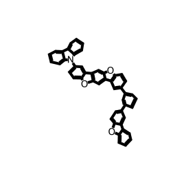 c1cc(-c2ccc3oc4ccccc4c3c2)cc(-c2ccc3oc4cc5c(cc4c3c2)oc2ccc(-n3c4ccccc4c4ccccc43)cc25)c1